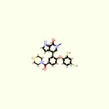 Cn1cc(-c2cc(C(=O)N3CCSCC3)ccc2Oc2ccc(F)cc2F)c2cc[nH]c2c1=O